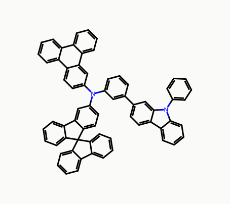 c1ccc(-n2c3ccccc3c3ccc(-c4cccc(N(c5ccc6c(c5)-c5ccccc5C65c6ccccc6-c6ccccc65)c5ccc6c7ccccc7c7ccccc7c6c5)c4)cc32)cc1